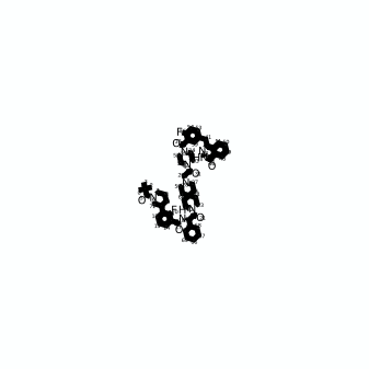 CC(C)(C)C(=O)N1CCCC(c2cccc(C(=O)N[C@@H](C(=O)N3CCC4(CCN(CC(=O)N5CCN(C(=O)c6cc(Cc7n[nH]c(=O)c8ccccc78)ccc6F)CC5)CC4)CC3)C3CCCCC3)c2F)C1